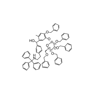 Cc1cc(OCc2ccccc2)c(O[C@H]2O[C@H](COCc3ccccc3)[C@@H](OCc3ccccc3)[C@H](OCc3ccccc3)[C@H]2OCc2ccccc2)cc1C(O)c1ccc(CCNC(c2ccccc2)(c2ccccc2)c2ccccc2)cc1